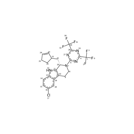 FC(F)(F)c1nc(N2CCc3c([nH]c4ccc(Cl)cc34)[C@@H]2CC2C=CCC2)nc(C(F)(F)F)n1